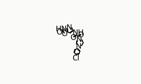 O=C(Nc1cnc2[nH]c(=O)oc2c1)C(=O)N1CCCN(c2ccc(Cl)cc2)CC1